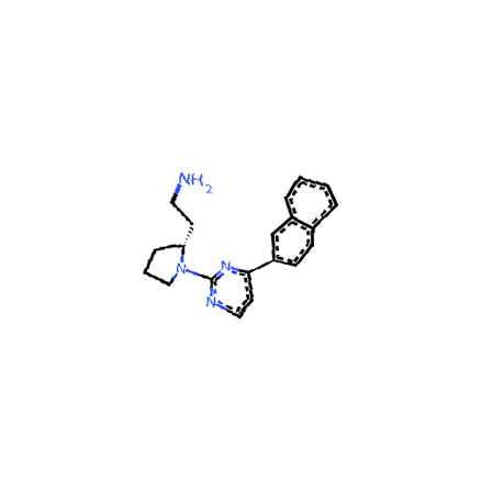 NCC[C@H]1CCCN1c1nccc(-c2ccc3ccccc3c2)n1